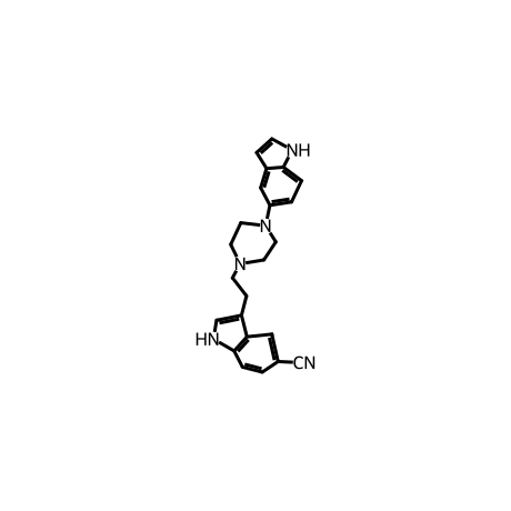 N#Cc1ccc2[nH]cc(CCN3CCN(c4ccc5[nH]ccc5c4)CC3)c2c1